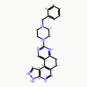 c1ccc(CN2CCN(c3ncc4c(n3)CCc3cnc5[nH]ncc5c3-4)CC2)cc1